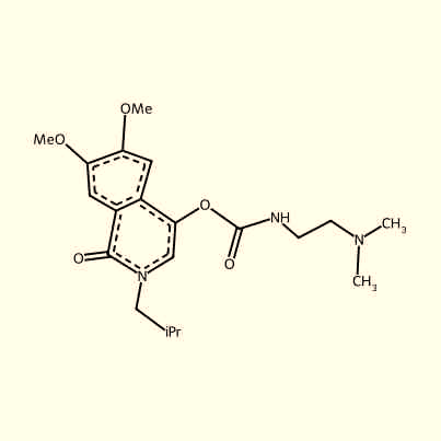 COc1cc2c(OC(=O)NCCN(C)C)cn(CC(C)C)c(=O)c2cc1OC